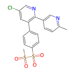 Cc1ccc(-c2ncc(Cl)cc2-c2ccc(S(=O)(=O)S(C)(=O)=O)cc2)cn1